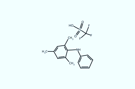 Cc1cc(C)c(Nc2ccccc2)c(C)c1.O=S(=O)(O)C(F)(F)F